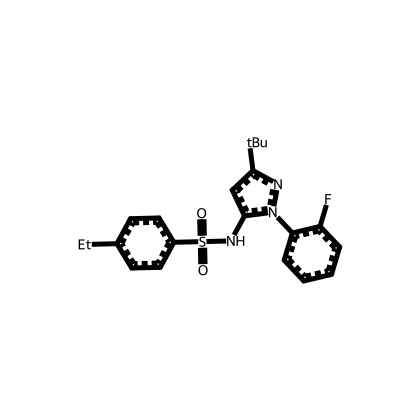 CCc1ccc(S(=O)(=O)Nc2cc(C(C)(C)C)nn2-c2ccccc2F)cc1